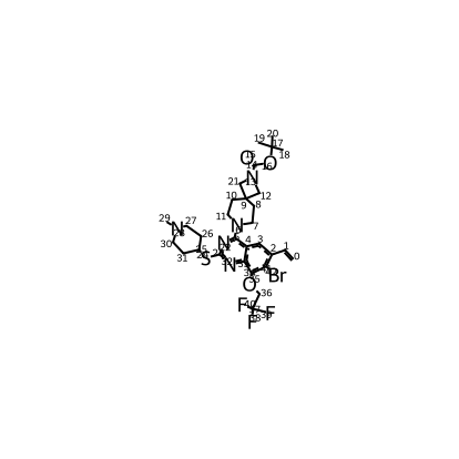 C=Cc1cc2c(N3CCC4(CC3)CN(C(=O)OC(C)(C)C)C4)nc(SC3CCN(C)CC3)nc2c(OCC(F)(F)F)c1Br